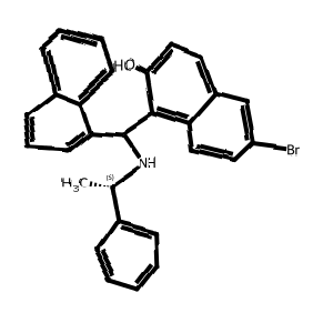 C[C@H](NC(c1cccc2ccccc12)c1c(O)ccc2cc(Br)ccc12)c1ccccc1